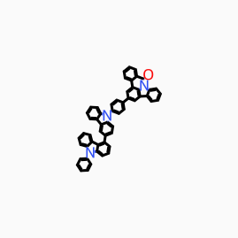 O=c1c2ccccc2c2cc(-c3ccc(-n4c5ccccc5c5cc(-c6cccc7c6c6ccccc6n7-c6ccccc6)ccc54)cc3)cc3c4ccccc4n1c23